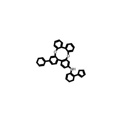 C1=CCC(C2=C(Nc3ccc4c(c3)Oc3ccccc3-c3ccccc3Oc3cc(C5=CCCC=C5)ccc3-4)C=CCC2)=C1